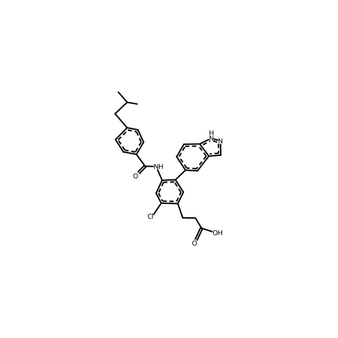 CC(C)Cc1ccc(C(=O)Nc2cc(Cl)c(CCC(=O)O)cc2-c2ccc3[nH]ncc3c2)cc1